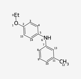 CCOc1ccc(Nc2[c]ccc(C)c2)cc1